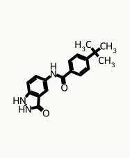 CC(C)(C)c1ccc(C(=O)Nc2ccc3[nH][nH]c(=O)c3c2)cc1